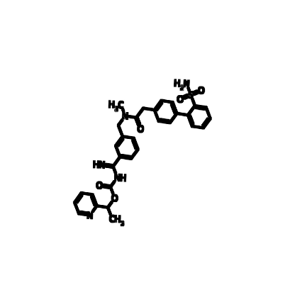 CC(OC(=O)NC(=N)c1cccc(CN(C)C(=O)Cc2ccc(-c3ccccc3S(N)(=O)=O)cc2)c1)c1ccccn1